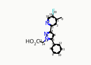 Cc1cc(-c2cc(-c3ccccc3)n(CC(=O)O)n2)ncc1F